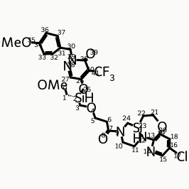 COC[Si@@H](COCCC(=O)N1CCN2c3ncc(Cl)cc3OCC[SiH]2C1)Oc1cnn(Cc2ccc(OC)cc2)c(=O)c1C(F)(F)F